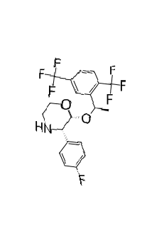 C[C@@H](O[C@H]1OCCN[C@H]1c1ccc(F)cc1)c1cc(C(F)(F)F)ccc1C(F)(F)F